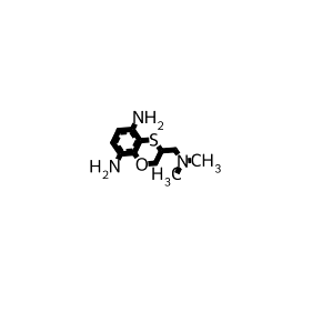 CN(C)CC1COc2c(N)ccc(N)c2S1